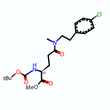 COC(=O)[C@H](CCC(=O)N(C)CCc1ccc(Cl)cc1)NC(=O)OC(C)(C)C